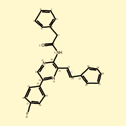 O=C(Cc1ccccc1)Nc1ncc(-c2ccc(F)cc2)nc1/C=C/c1ccccc1